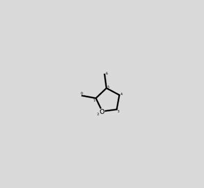 C[C]1OCCC1C